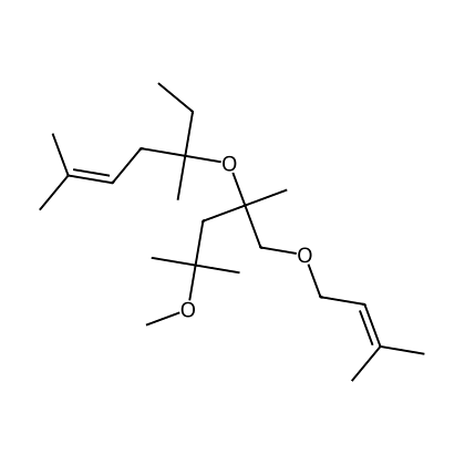 CCC(C)(CC=C(C)C)OC(C)(COCC=C(C)C)CC(C)(C)OC